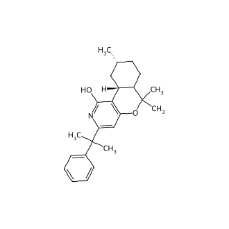 C[C@@H]1CCC2[C@@H](C1)c1c(cc(C(C)(C)c3ccccc3)nc1O)OC2(C)C